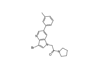 Cc1cccc(-c2cnc3c(Br)cn(CC(=O)N4CCCC4)c3c2)c1